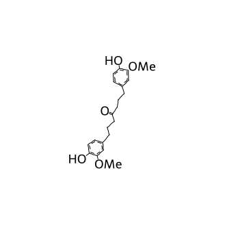 COc1cc(CCCC(=O)CCCc2ccc(O)c(OC)c2)ccc1O